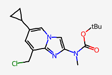 CN(C(=O)OC(C)(C)C)c1cn2cc(C3CC3)cc(CCl)c2n1